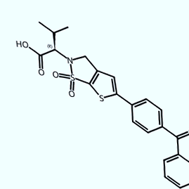 CC(C)[C@H](C(=O)O)N1Cc2cc(-c3ccc(C(=O)c4ccccc4)cc3)sc2S1(=O)=O